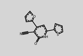 N#Cc1c(-c2ccco2)cc(-c2cccs2)[nH]c1=O